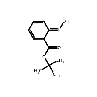 CC(C)(C)OC(=O)C1C=CC=CC1=NO